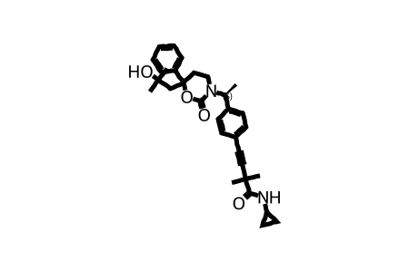 C[C@@H](c1ccc(C#CC(C)(C)C(=O)NC2CC2)cc1)N1CCC(CC(C)(C)O)(c2ccccc2)OC1=O